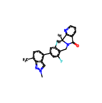 [2H]C1([2H])c2ncccc2C(=O)N1Cc1c(F)cc(-c2ccc(C(F)(F)F)c3nn(C)cc23)cc1F